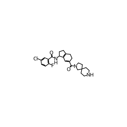 O=C(NC1CCC2=C1C=C(C(=O)N1CCC3(CCNCC3)C1)CC2)c1cc(Cl)ccc1F